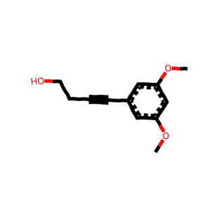 COc1cc(C#CCCO)cc(OC)c1